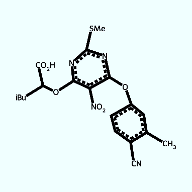 CCC(C)C(Oc1nc(SC)nc(Oc2ccc(C#N)c(C)c2)c1[N+](=O)[O-])C(=O)O